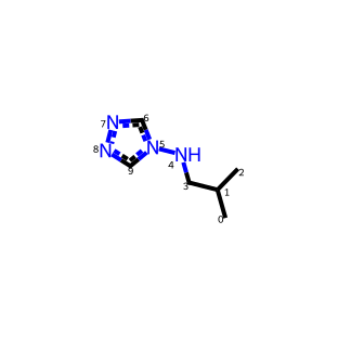 CC(C)CNn1cnnc1